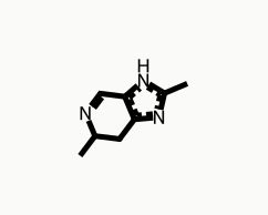 Cc1nc2c([nH]1)C=NC(C)C2